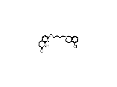 O=C1CCc2ccc(OCCCCN3CCc4c(Cl)cccc4C3)nc2N1